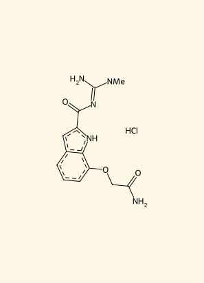 CNC(N)=NC(=O)c1cc2cccc(OCC(N)=O)c2[nH]1.Cl